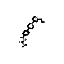 CCCc1cc(N2CCC(c3ccc([C@H](C)NC(=O)N(C)C)cc3)CC2)ccn1